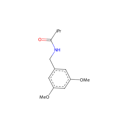 COc1cc(CNC(=O)C(C)C)cc(OC)c1